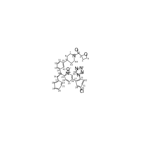 O=C(C1CCO1)N1CCC(c2cccc([C@H](Cc3ccccc3)c3ccc(-c4cc(Cl)ccc4-n4cnnn4)c[n+]3[O-])c2)CC1